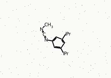 CN=C=Nc1cc(C(C)C)cc(C(C)C)c1